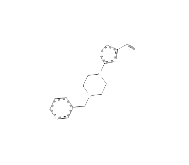 O=Cc1csc(N2CCN(Cc3cccnc3)CC2)n1